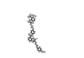 COC(=O)c1ccccc1CN(C)C(=O)CCCSc1ccc(OC(=O)c2ccccc2CN(C)C(=O)CCCSc2ccc(O)cc2)cc1